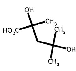 CC(C)(O)CC(C)(O)C(=O)O